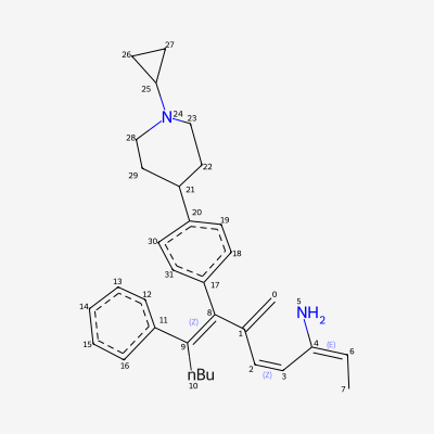 C=C(/C=C\C(N)=C/C)/C(=C(\CCCC)c1ccccc1)c1ccc(C2CCN(C3CC3)CC2)cc1